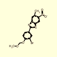 COCOc1ccc(-c2nc3cc(C)c([N+](=O)[O-])cc3s2)cc1Br